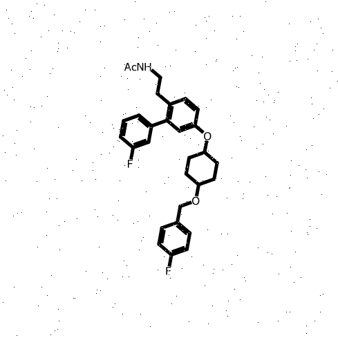 CC(=O)NCCc1ccc(OC2CCC(OCc3ccc(F)cc3)CC2)cc1-c1cccc(F)c1